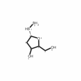 BB[C@H]1CC(O)C(CO)O1